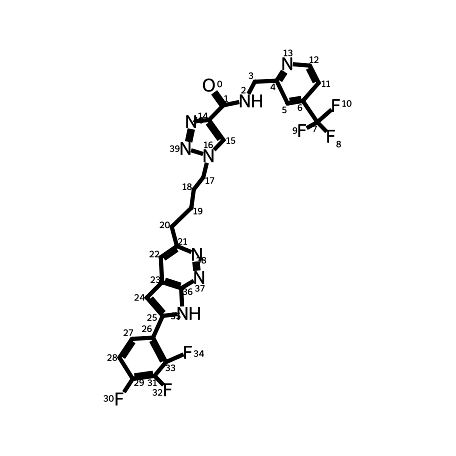 O=C(NCc1cc(C(F)(F)F)ccn1)c1cn(CCCCc2cc3cc(-c4ccc(F)c(F)c4F)[nH]c3nn2)nn1